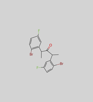 CC(C(=O)C(C)c1cc(F)ccc1Br)c1cc(F)ccc1Br